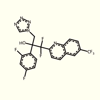 OC(Cn1cnnn1)(c1ccc(F)cc1F)C(F)(F)c1ccc2cc(C(F)(F)F)ccc2n1